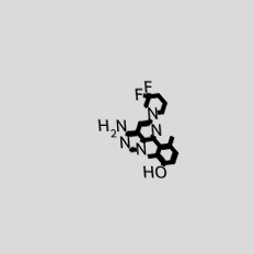 Cc1ccc(O)c(C)c1-c1nc(N2CCCC(F)(F)C2)cc2c(N)ncnc12